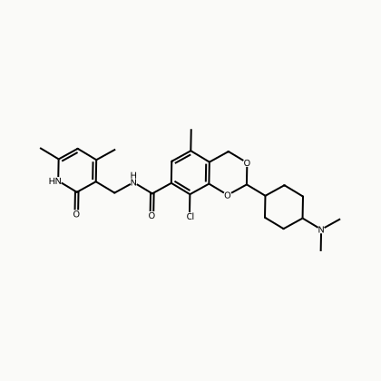 Cc1cc(C)c(CNC(=O)c2cc(C)c3c(c2Cl)OC(C2CCC(N(C)C)CC2)OC3)c(=O)[nH]1